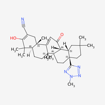 Cn1nnc([C@]23CCC(C)(C)C[C@H]2[C@H]2C(=O)C=C4[C@@]5(C)CC(C#N)=C(O)C(C)(C)[C@@H]5CC[C@@]4(C)[C@]2(C)CC3)n1